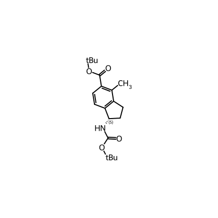 Cc1c(C(=O)OC(C)(C)C)ccc2c1CC[C@@H]2NC(=O)OC(C)(C)C